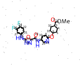 COC(=O)C1CCC(Oc2ccc(NC(=O)c3nnc(Nc4ccc(F)c(F)c4)o3)cn2)CC1